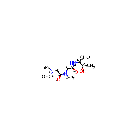 CCCN(C=O)CC(=O)N(CCC)CC(=O)NC(C=O)C(C)O